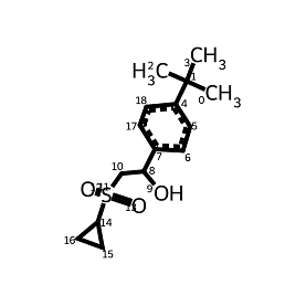 CC(C)(C)c1ccc(C(O)CS(=O)(=O)C2CC2)cc1